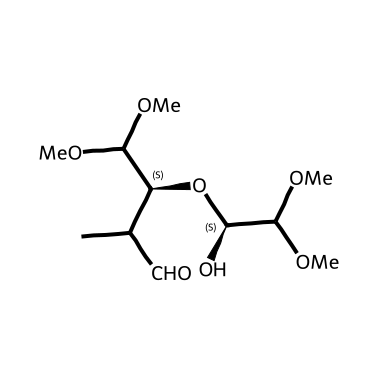 COC(OC)[C@@H](O[C@H](O)C(OC)OC)C(C)C=O